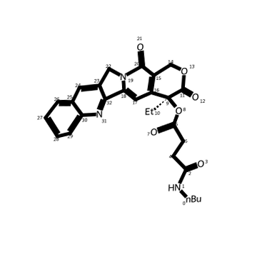 CCCCNC(=O)CCC(=O)O[C@]1(CC)C(=O)OCc2c1cc1n(c2=O)Cc2cc3ccccc3nc2-1